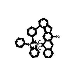 CC1(C)c2ccccc2C=c2c1cc1c(c2Br)C=c2cccc(-c3cccc(-c4nc5ccccc5n4-c4ccccc4)c3)c2=1